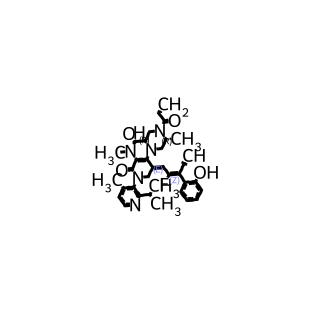 C#C/C(=C(F)\C=C1/CN(c2c(C)ccnc2C(C)C)C(=O)C2=C1N1C[C@@H](C)N(C(=O)C=C)C[C@@H]1C(=O)N2C)c1ccccc1O